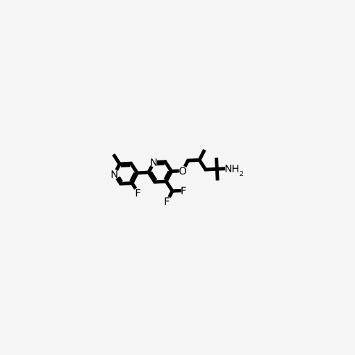 Cc1cc(-c2cc(C(F)F)c(OCC(C)CC(C)(C)N)cn2)c(F)cn1